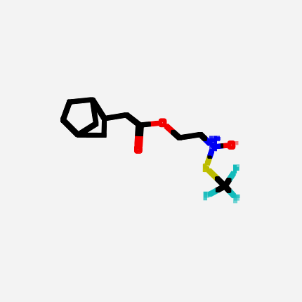 O=C(CC1CC2CCC1C2)OCC[NH+]([O-])SC(F)(F)F